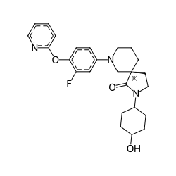 O=C1N(C2CCC(O)CC2)CC[C@@]12CCCN(c1ccc(Oc3ccccn3)c(F)c1)C2